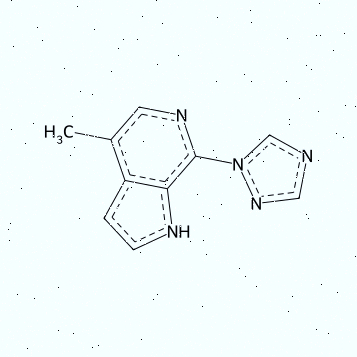 Cc1cnc(-n2cncn2)c2[nH]ccc12